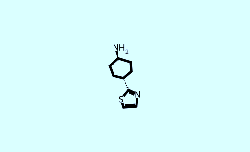 N[C@H]1CC[C@H](c2nccs2)CC1